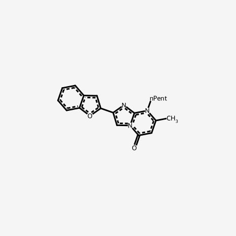 CCCCCn1c(C)cc(=O)n2cc(-c3cc4ccccc4o3)nc12